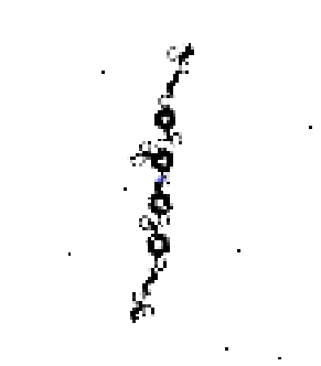 C=CC(=O)OCCCCOc1ccc(C(=O)Oc2ccc(/C=N/c3ccc(OC(=O)c4ccc(OCCCCOC(=O)C=C)cc4)c(C(=O)OC)c3)cc2)cc1